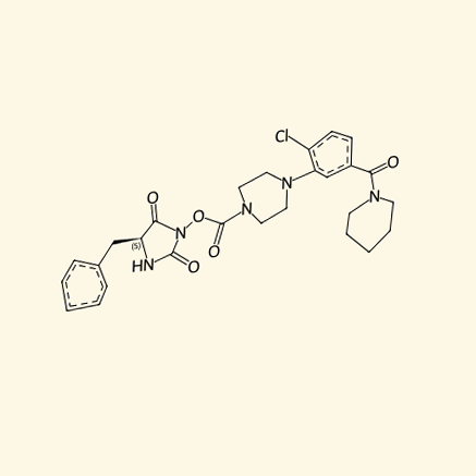 O=C(ON1C(=O)N[C@@H](Cc2ccccc2)C1=O)N1CCN(c2cc(C(=O)N3CCCCC3)ccc2Cl)CC1